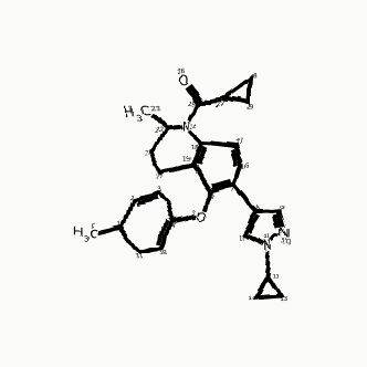 CC1C=CC(Oc2c(-c3cnn(C4CC4)c3)ccc3c2CCC(C)N3C(=O)C2CC2)=CC1